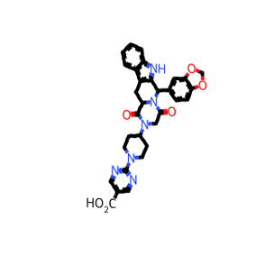 O=C(O)c1cnc(N2CCC(N3CC(=O)N4C(Cc5c([nH]c6ccccc56)C4c4ccc5c(c4)OCO5)C3=O)CC2)nc1